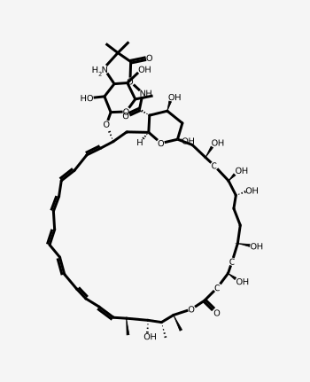 CC1OC(O[C@H]2/C=C/C=C/C=C/C=C/C=C/C=C/C=C/[C@H](C)[C@@H](O)[C@@H](C)[C@H](C)OC(=O)C[C@H](O)C[C@H](O)CC[C@@H](O)[C@H](O)C[C@H](O)C[C@]3(O)C[C@H](O)[C@@H](C(=O)NOC(=O)C(C)(C)C)[C@H](C2)O3)C(O)C(N)C1O